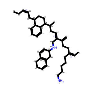 C=C(CC/C(=C\C)CCCCCN)/C(=C/CC(C)C1CCC(C/C=C\CC)C2C=CC=CC21)CNC1C=CC2=C(C=CCC2)C1